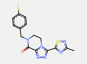 Cc1nsc(-c2nnc3n2CCN(Cc2ccc(F)cc2)C3=O)n1